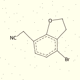 N#CCc1ccc(Br)c2c1OCC2